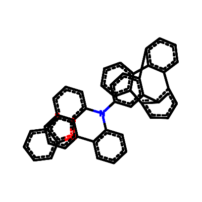 c1ccc(-c2ccccc2N(c2ccc3c(c2)-c2c4cccc2-c2cccc-3c2-c2ccccc2-4)c2cccc3c2oc2ccccc23)cc1